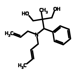 C=CCN(CC=CC)C(c1ccccc1)C(C)(CO)CO